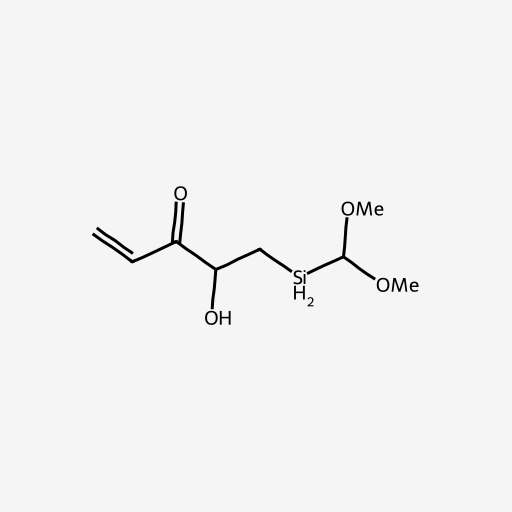 C=CC(=O)C(O)C[SiH2]C(OC)OC